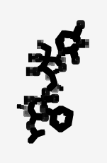 CC(C)OC(=O)[C@H](C)N[P@@](=O)(Oc1ccccc1)O[C@@H](C)[C@H]1O[C@@H](n2ccc(=O)[nH]c2=O)[C@@](O)(CF)C1O